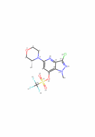 C[C@@H]1COCCN1c1cc(OS(=O)(=O)C(F)(F)F)c2c(n1)c(Cl)nn2C